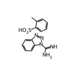 Cc1ccccc1S(=O)(=O)O.N=C(N)n1nnc2ccccc21